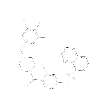 O=C(c1ccc(NS(=O)(=O)c2cccc3cccnc23)cc1Cl)N1CCN(Cc2cc(F)c(F)c(F)c2)CC1